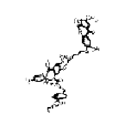 COc1cc2c(cc1OCCCCCOc1cc3c(cc1OC)C(=O)N1C=C(C)C[C@H]1[C@H](O)N3C(=O)OCc1ccc(NCI)cc1)N=C[C@@H]1CC(C)=CC1C2=O